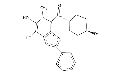 CC[C@H]1CC[C@H](C(=O)N2c3sc(-c4ccccc4)cc3C(O)=C(O)C2C)CC1